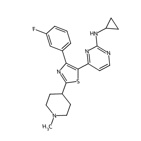 CN1CCC(c2nc(-c3cccc(F)c3)c(-c3ccnc(NC4CC4)n3)s2)CC1